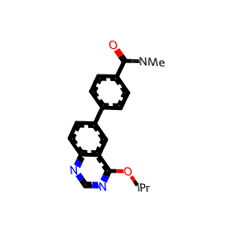 CNC(=O)c1ccc(-c2ccc3ncnc(OC(C)C)c3c2)cc1